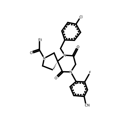 CCC(=O)N1CC[C@@]2(C1)C(=O)N(c1ccc(C#N)cc1F)CC(=O)N2Cc1ccc(Cl)cc1